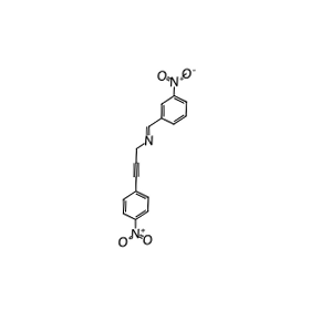 O=[N+]([O-])c1ccc(C#CCN=Cc2cccc([N+](=O)[O-])c2)cc1